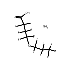 N.O=C(O)C(F)(F)C(F)(F)C(F)(F)OC(F)(F)C(F)(F)C(F)(F)F